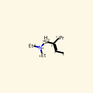 CC=C([SiH2]N(CC)CC)C(C)C